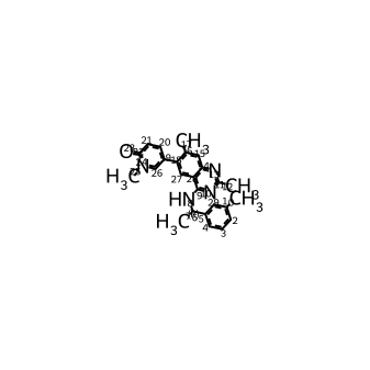 Cc1cccc([C@@H](C)Nc2nc(C)nc3cc(C)c(-c4ccc(=O)n(C)c4)cc23)c1